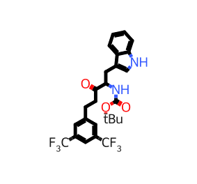 CC(C)(C)OC(=O)NC(Cc1c[nH]c2ccccc12)C(=O)CCc1cc(C(F)(F)F)cc(C(F)(F)F)c1